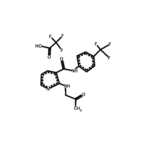 CC(=O)CNc1ncccc1C(=O)Nc1ccc(C(F)(F)F)cc1.O=C(O)C(F)(F)F